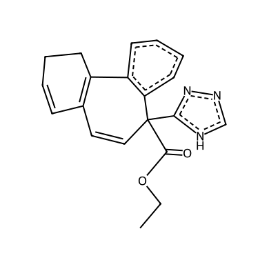 CCOC(=O)C1(c2nnc[nH]2)C=CC2=C(CCC=C2)c2ccccc21